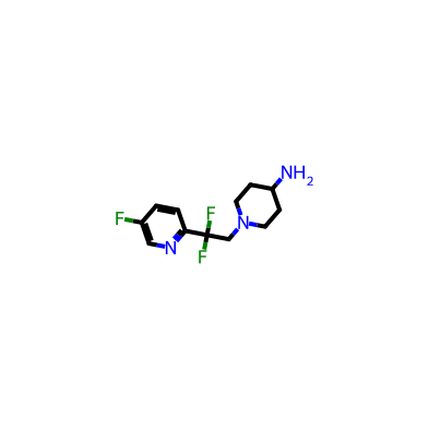 NC1CCN(CC(F)(F)c2ccc(F)cn2)CC1